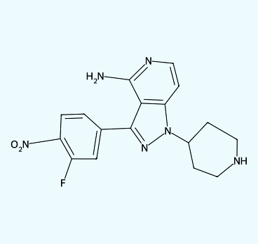 Nc1nccc2c1c(-c1ccc([N+](=O)[O-])c(F)c1)nn2C1CCNCC1